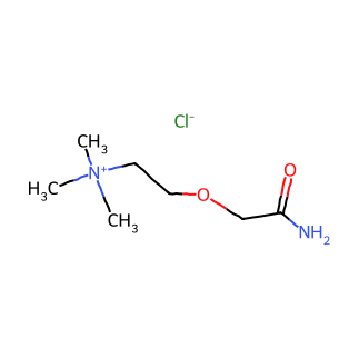 C[N+](C)(C)CCOCC(N)=O.[Cl-]